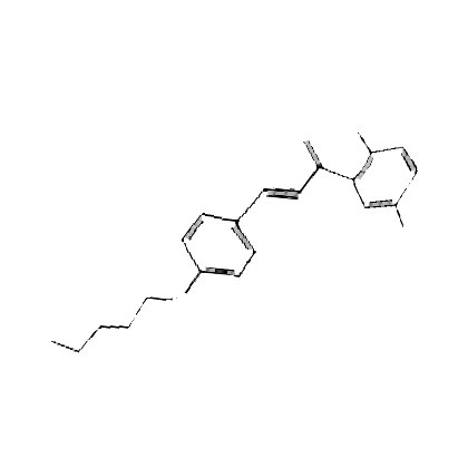 CCCCCSc1ccc(/C=C/C(=O)c2cc(F)ccc2F)cc1